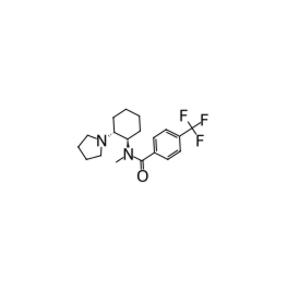 CN(C(=O)c1ccc(C(F)(F)F)cc1)[C@@H]1CCCC[C@H]1N1CCCC1